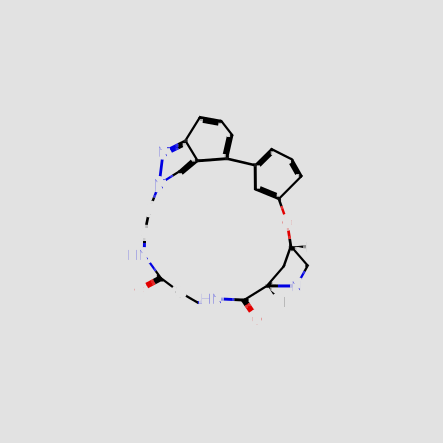 O=C1CCNC(=O)[C@@H]2C[C@@H](CN2)Oc2cccc(c2)-c2cccc3nn(cc23)CCN1